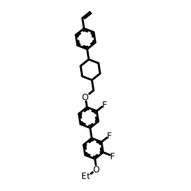 C=Cc1ccc(C2CCC(COc3ccc(-c4ccc(OCC)c(F)c4F)cc3F)CC2)cc1